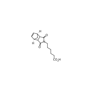 O=C(O)CCCCCN1C(=O)C2C(C1=O)[C@H]1C=C[C@@H]2C1